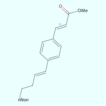 CCCCCCCCCCCC=Cc1ccc(/C=C/C(=O)OC)cc1